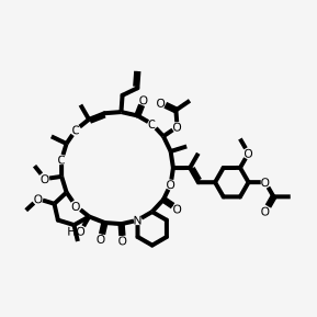 C=CCC1/C=C(/C)CC(C)CC(OC)C2OC(O)(C(=O)C(=O)N3CCCCC3C(=O)OC(/C(C)=C/C3CCC(OC(C)=O)C(OC)C3)C(C)C(OC(C)=O)CC1=O)C(C)CC2OC